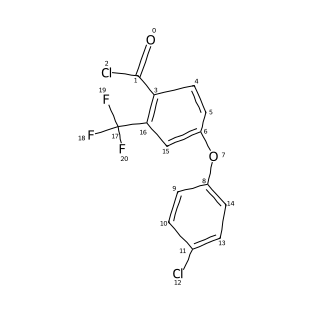 O=C(Cl)c1ccc(Oc2ccc(Cl)cc2)cc1C(F)(F)F